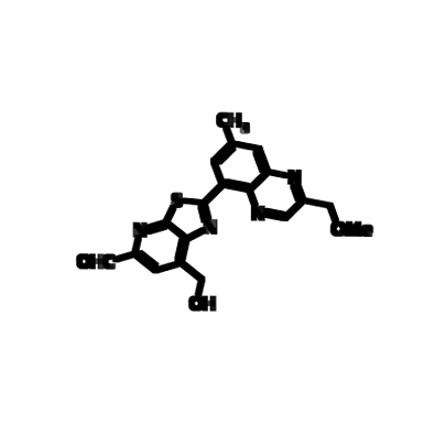 COCc1cnc2c(-c3nc4c(CO)cc(C=O)nc4s3)cc(C)cc2n1